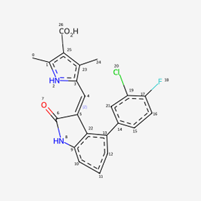 Cc1[nH]c(/C=C2\C(=O)Nc3cccc(-c4ccc(F)c(Cl)c4)c32)c(C)c1C(=O)O